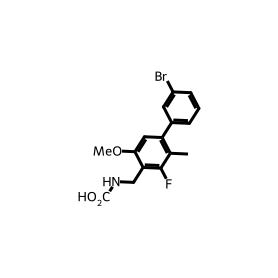 COc1cc(-c2cccc(Br)c2)c(C)c(F)c1CNC(=O)O